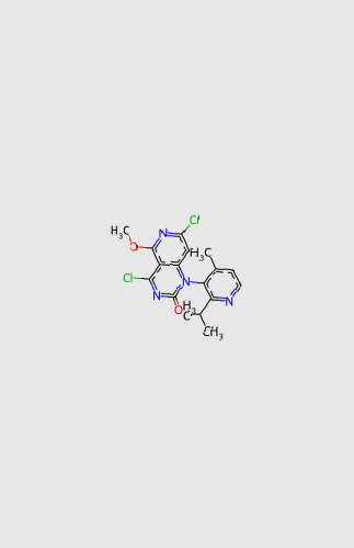 COc1nc(Cl)cc2c1c(Cl)nc(=O)n2-c1c(C)ccnc1C(C)C